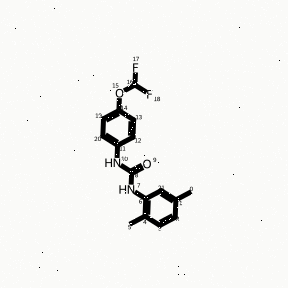 Cc1ccc(C)c(NC(=O)Nc2ccc(OC(F)F)cc2)c1